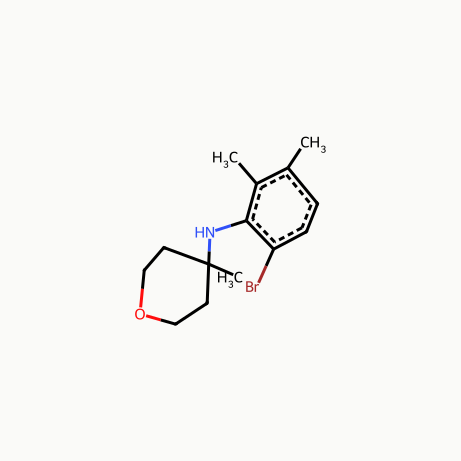 Cc1ccc(Br)c(NC2(C)CCOCC2)c1C